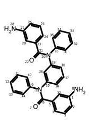 Nc1cccc(C(=O)N(c2ccccc2)c2cccc(N(C(=O)c3cccc(N)c3)c3ccccc3)c2)c1